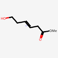 COC(=O)C/C=C/CCO